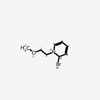 COCCN1C=CC=CC1Br